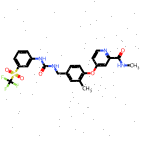 CNC(=O)c1cc(Oc2ccc(CNC(=O)Nc3cccc(S(=O)(=O)C(F)(F)F)c3)cc2C)ccn1